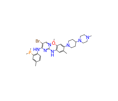 COc1cc(N2CCC(N3CCN(C)CC3)CC2)c(C)cc1Nc1ncc(Br)c(Nc2ccc(C)cc2P(C)C)n1